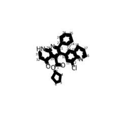 O=C(OC1CCCC1)c1c(-c2cc(Cl)c3ncccc3c2)c(-c2ccccc2)nc2[nH]ccc(=O)c12